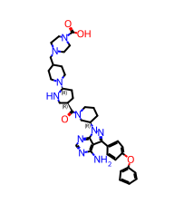 Nc1ncnc2c1c(-c1ccc(Oc3ccccc3)cc1)nn2[C@@H]1CCCN(C(=O)[C@@H]2CC[C@@H](N3CCC(CN4CCN(C(=O)O)CC4)CC3)NC2)C1